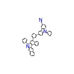 N#Cc1ccc2c(c1)c1cc(-c3cccc(-c4cc5c(-c6ccccc6)nc6cc7ccccc7cc6c5c5ccccc45)c3)ccc1n2-c1ccccc1